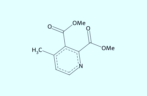 COC(=O)c1nccc(C)c1C(=O)OC